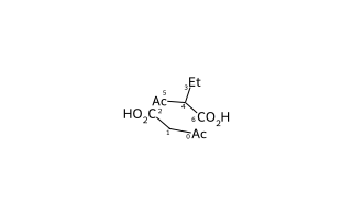 CC(=O)CC(=O)O.CCC(C(C)=O)C(=O)O